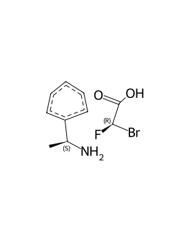 C[C@H](N)c1ccccc1.O=C(O)[C@H](F)Br